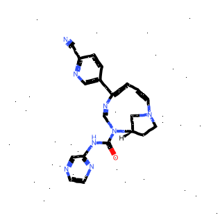 N#Cc1ccc(C2=CC=CN3CC[C@@H](C3)N(C(=O)Nc3cnccn3)C=N2)cn1